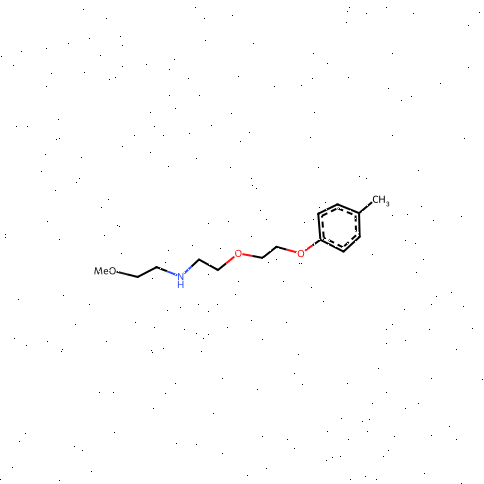 COCCNCCOCCOc1ccc(C)cc1